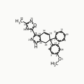 COc1ccc(C2(c3ccccc3)C=Cc3c(-c4nc(C)no4)n[nH]c3C2)cc1